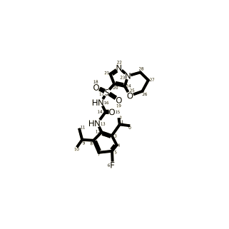 CC(C)c1cc(F)cc(C(C)C)c1NC(=O)NS(=O)(=O)c1cnn2c1OCCC2